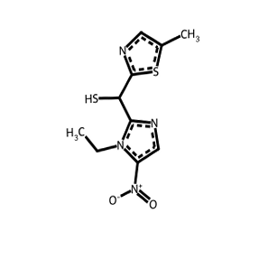 CCn1c([N+](=O)[O-])cnc1C(S)c1ncc(C)s1